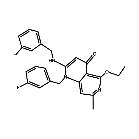 CCOc1nc(C)cc2c1c(=O)cc(NCc1cccc(F)c1)n2Cc1cccc(F)c1